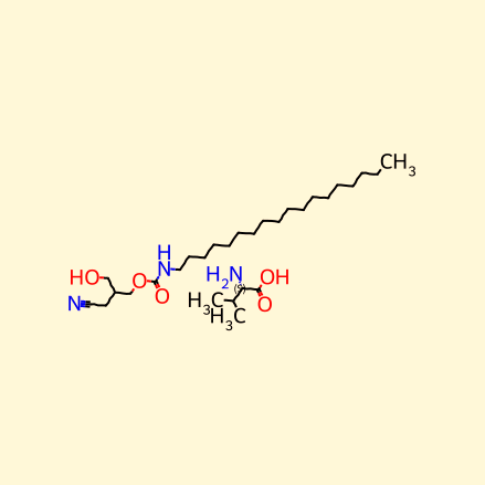 CC(C)[C@H](N)C(=O)O.CCCCCCCCCCCCCCCCCCNC(=O)OCC(CO)CC#N